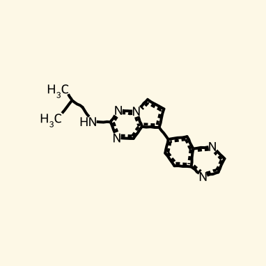 CC(C)CNc1ncc2c(-c3ccc4nccnc4c3)ccn2n1